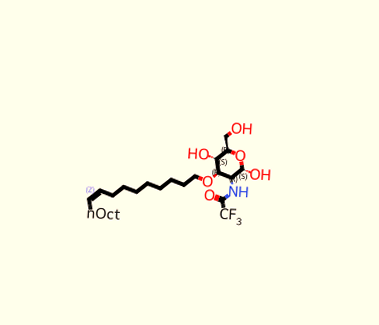 CCCCCCCC/C=C\CCCCCCCCO[C@H]1[C@H](O)[C@@H](CO)O[C@H](O)[C@@H]1NC(=O)C(F)(F)F